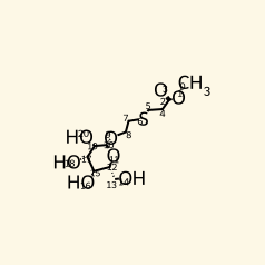 COC(=O)CCSCCO[C@@H]1O[C@H](CO)[C@H](O)[C@H](O)[C@H]1O